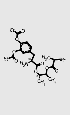 CCC(=O)Oc1ccc(C[C@H](N)C(=O)O[C@@H](C)C(C)OC(=O)C(C)C(C)C)cc1OC(=O)CC